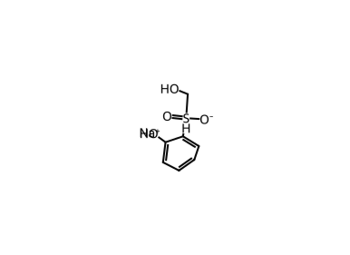 O=[SH]([O-])(CO)c1ccccc1O.[Na+]